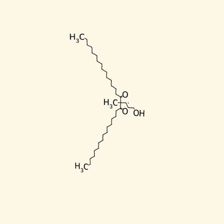 CCCCCCCCCCCCCCCC(=O)C(C)([CH]CCO)C(=O)CCCCCCCCCCCCCCC